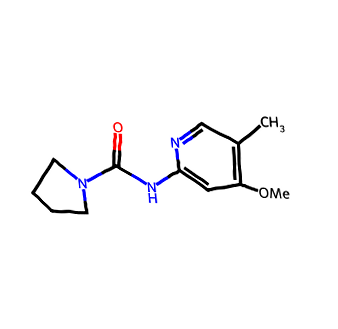 COc1cc(NC(=O)N2CCCC2)ncc1C